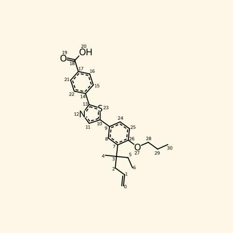 C=CCC(C)(CC)c1cc(-c2cnc(-c3ccc(C(=O)O)cc3)s2)ccc1OCCC